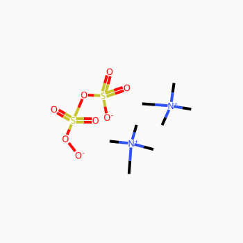 C[N+](C)(C)C.C[N+](C)(C)C.O=S(=O)([O-])OS(=O)(=O)O[O-]